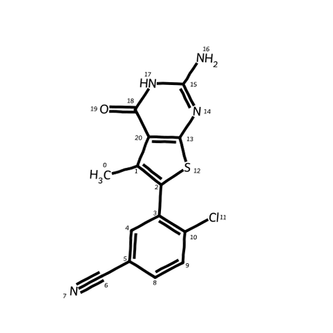 Cc1c(-c2cc(C#N)ccc2Cl)sc2nc(N)[nH]c(=O)c12